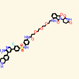 Nc1ncc(-c2ccc(S(=O)(=O)Nc3ccc(NC(=O)CCOCCOCCOCCNc4cccc5c4C(=O)N(C4CCC(=O)NC4=O)C5=O)cc3)cc2F)cc1-c1ccc2c(c1)CCNC2